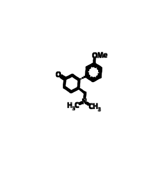 COc1cccc([C@H]2CC(=O)CC[C@@H]2CN(C)C)c1